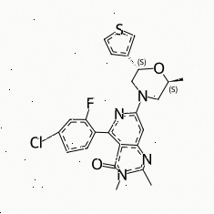 Cc1nc2cc(N3C[C@H](C)O[C@@H](c4ccsc4)C3)nc(-c3ccc(Cl)cc3F)c2c(=O)n1C